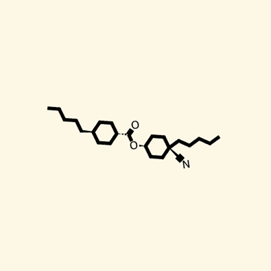 CCCCC[C@H]1CC[C@H](C(=O)O[C@H]2CC[C@@](C#N)(CCCCC)CC2)CC1